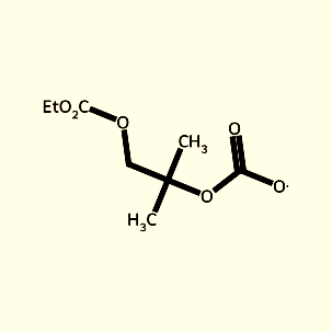 CCOC(=O)OCC(C)(C)OC([O])=O